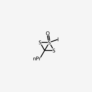 CCCC12SS1(=O)(I)S2